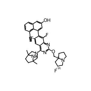 C#Cc1cccc2cc(O)cc(-c3c(F)cc4c(N5CC6(C)CCC(C)(C5)N6)nc(OC[C@@]56CCCN5C[C@H](F)C6)nc4c3F)c12